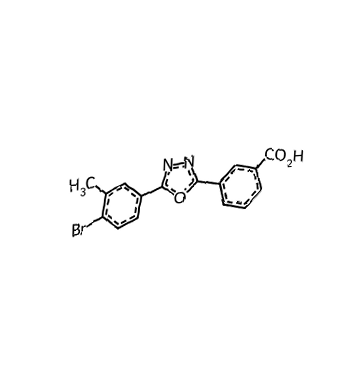 Cc1cc(-c2nnc(-c3cccc(C(=O)O)c3)o2)ccc1Br